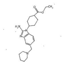 CCOC(=O)C1CCC(n2c(N)nc3cc(CN4CCCCC4)ccc32)CC1